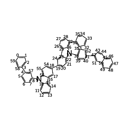 c1ccc(-c2cccc(-n3c4ccccc4c4cc(-c5ccc6c(c5)c5cccc(-c7ccccc7)c5n6-c5ccc(-c6ccc7ccccc7c6)cc5)ccc43)c2)cc1